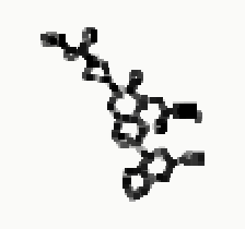 CC(C)(C)OC(=O)N1CC(N2Cc3ccc(-c4cc(O)cc5ccccc45)cc3N(CC(N)=O)C2=O)C1